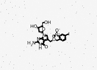 Nc1nc2c(c(COCc3ccc(I)cc3[N+](=O)[O-])cn2[C@H]2C[C@@H](O)[C@@H](CO)O2)c(=O)[nH]1